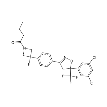 CCCC(=O)N1CC(F)(c2ccc(C3=NOC(c4cc(Cl)cc(Cl)c4)(C(F)(F)F)C3)cc2)C1